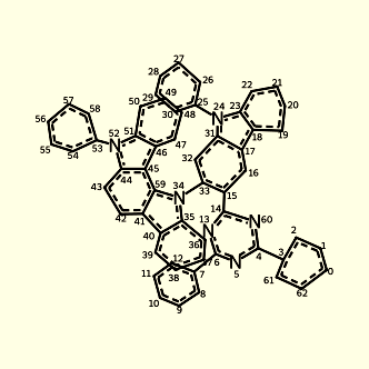 c1ccc(-c2nc(-c3ccccc3)nc(-c3cc4c5ccccc5n(-c5ccccc5)c4cc3-n3c4ccccc4c4ccc5c(c6ccccc6n5-c5ccccc5)c43)n2)cc1